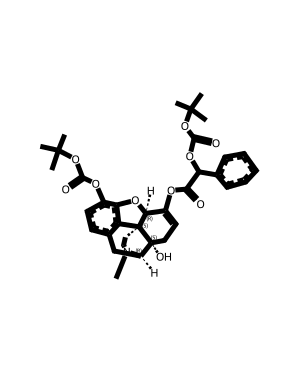 CN1CC[C@]23c4c5ccc(OC(=O)OC(C)(C)C)c4O[C@H]2C(OC(=O)C(OC(=O)OC(C)(C)C)c2ccccc2)=CC[C@@]3(O)[C@H]1C5